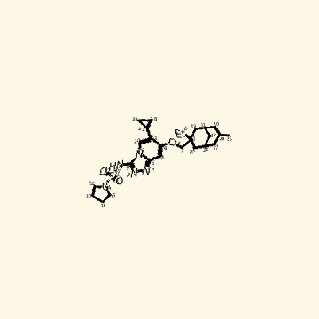 CCC1(COc2cc3nnc(NS(=O)(=O)N4CCCC4)n3cc2C2CC2)CC2CC(C)CC(C2)C1